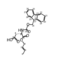 CC=CCOC(=O)[C@H](CC(=O)O)NC(=O)OCC1c2ccccc2-c2ccccc21